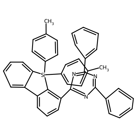 Cc1ccc([Si]2(c3ccc(C)cc3)c3ccccc3-c3cccc(-c4nc(-c5ccccc5)nc(-c5ccccc5)n4)c32)cc1